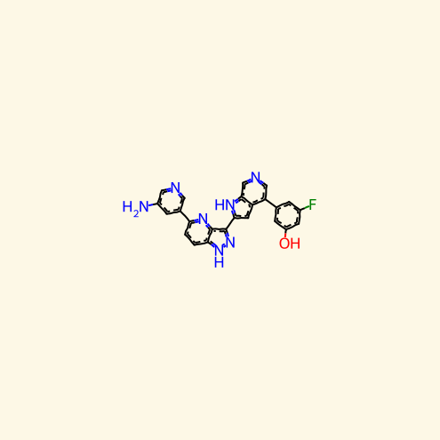 Nc1cncc(-c2ccc3[nH]nc(-c4cc5c(-c6cc(O)cc(F)c6)cncc5[nH]4)c3n2)c1